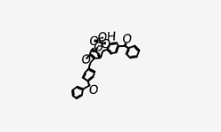 O=C(c1ccccc1)c1ccc(C2Oc3c(S(=O)(=O)O)cc2c2c3OC2c2ccc(C(=O)c3ccccc3)cc2)cc1